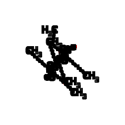 CCCCCCCCCCCCCCCCn1c(=O)c(-c2ccccc2)cc2c1cc(-c1cc3c(CCCCCCCCCCCC)c4sc(-c5cc6c(cc(-c7ccc(-c8ccccc8)s7)c(=O)n6CCCCCCCCCCCCCCCC)n(CCCCCCCCCCCCCCCC)c5=O)cc4c(CCCCCCCCCCCC)c3s1)c(=O)n2CCCCCCCCCCCCCCCC